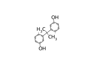 CC(C)(c1[c]ccc(O)c1)c1[c]ccc(O)c1